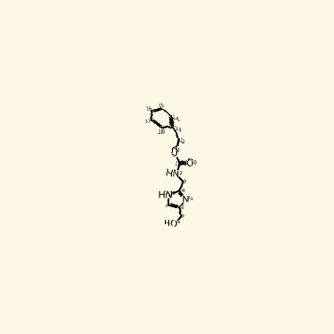 O=C(NCc1nc(CO)c[nH]1)OCc1ccccc1